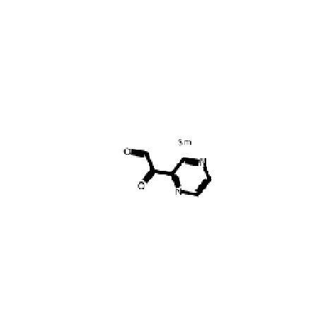 O=CC(=O)c1cnccn1.[Sm]